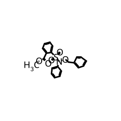 COC(=O)c1ccccc1S(=O)(=O)N(OCc1ccccc1)c1ccccc1